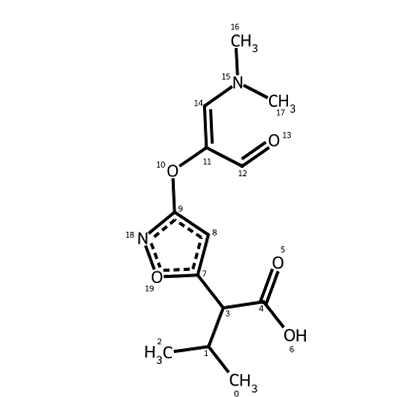 CC(C)C(C(=O)O)c1cc(OC(C=O)=CN(C)C)no1